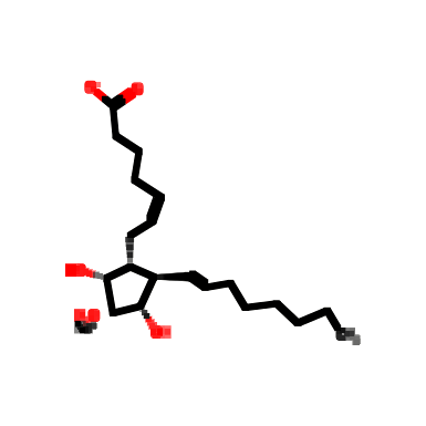 CCCCCC/C=C/[C@@H]1[C@@H](C/C=C\CCCC(=O)[O-])[C@@H](O)C[C@H]1O.O.[Na+]